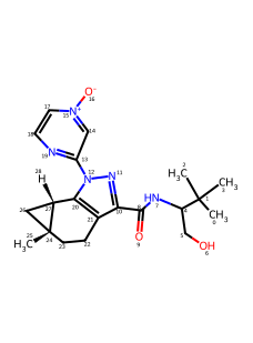 CC(C)(C)C(CO)NC(=O)c1nn(-c2c[n+]([O-])ccn2)c2c1CC[C@]1(C)C[C@H]21